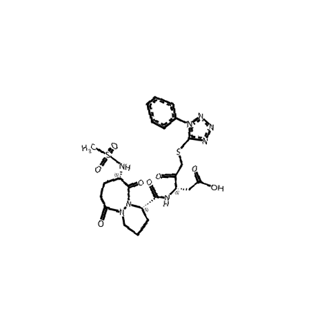 CS(=O)(=O)N[C@H]1CCC(=O)N2CCC[C@@H](C(=O)N[C@@H](CC(=O)O)C(=O)CSc3nnnn3-c3ccccc3)N2C1=O